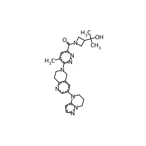 Cc1cc(C(=O)N2CC(C(C)(C)O)C2)nnc1N1CCc2ncc(N3CCCn4nccc43)cc2C1